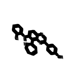 Oc1ccc(-c2cnc3ccc(Nc4ccccc4Cl)c(C4=CC=CC=CN4)c3n2)cc1